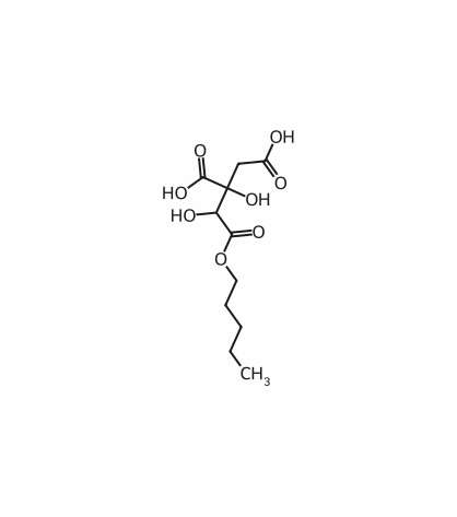 CCCCCOC(=O)C(O)C(O)(CC(=O)O)C(=O)O